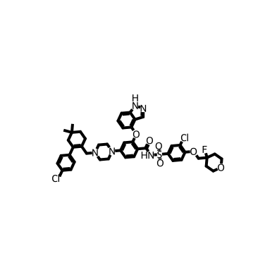 CC1(C)CCC(CN2CCN(c3ccc(C(=O)NS(=O)(=O)c4ccc(OCC5(F)CCOCC5)c(Cl)c4)c(Oc4cccc5[nH]ncc45)c3)CC2)=C(c2ccc(Cl)cc2)C1